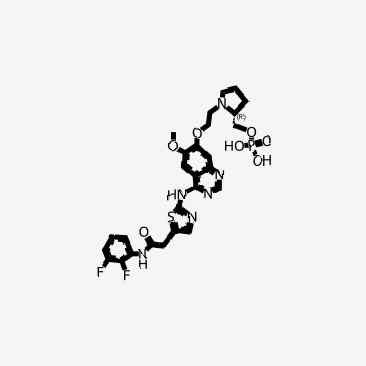 COc1cc2c(Nc3ncc(CC(=O)Nc4cccc(F)c4F)s3)ncnc2cc1OCCN1CCC[C@@H]1COP(=O)(O)O